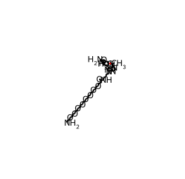 CN(C)c1ncnc2c1c(-c1ccc3oc(N)nc3c1)nn2CCCCNC(=O)CCOCCOCCOCCOCCOCCOCCOCCOCCN